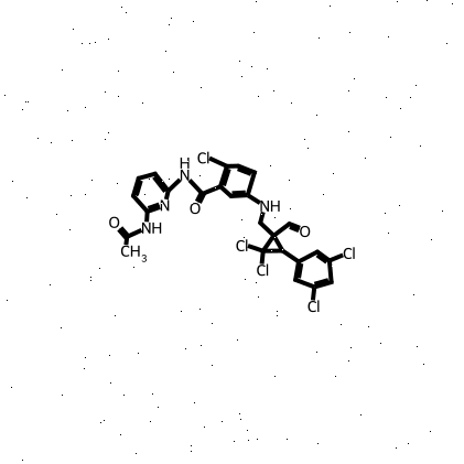 CC(=O)Nc1cccc(NC(=O)c2cc(NCC3(C=O)C(c4cc(Cl)cc(Cl)c4)C3(Cl)Cl)ccc2Cl)n1